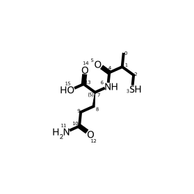 CC(CS)C(=O)N[C@@H](CCC(N)=O)C(=O)O